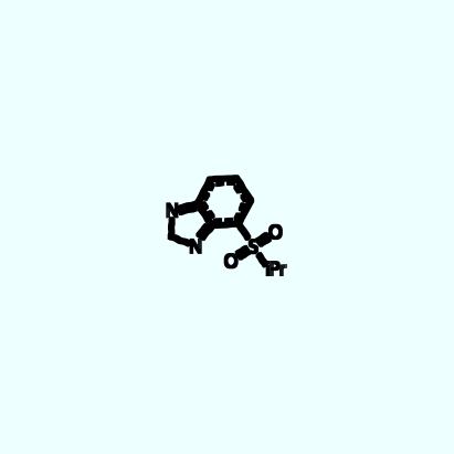 CC(C)S(=O)(=O)c1cccc2c1=NCN=2